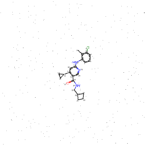 Cc1c(Cl)cccc1Nc1cc(C2CC2)c(C(=O)NCC2CCC2)cn1